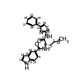 CSCC[C@H](NC(=O)c1ccc2[nH]ccc2c1)C(=O)Nc1nc(-c2ccccc2)cs1